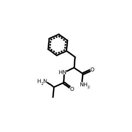 CC(N)C(=O)NC(Cc1ccccc1)C(N)=O